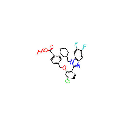 O=C(O)c1ccc(COc2cc(Cl)ccc2-c2nc3cc(F)c(F)cc3n2CC2CCCCC2)cc1